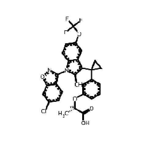 Cc1c(C2(c3cccc(O[C@@H](C)C(=O)O)c3)CC2)c2cc(OC(F)(F)F)ccc2n1-c1noc2cc(Cl)ccc12